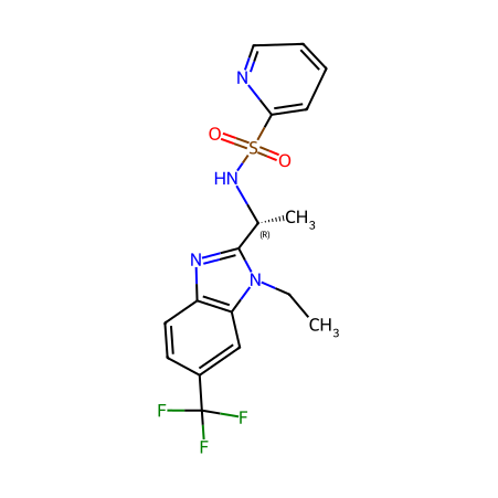 CCn1c([C@@H](C)NS(=O)(=O)c2ccccn2)nc2ccc(C(F)(F)F)cc21